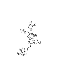 [2H]C([2H])([2H])C([2H])([2H])CCCC(=O)N1CC2(CC2)C[C@H]1C(=O)N[C@@H](C[C@@H]1CCNC1=O)C(=O)COC(F)(F)F